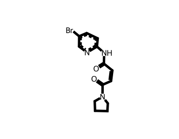 O=C(/C=C\C(=O)N1CCCC1)Nc1ccc(Br)cn1